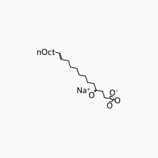 CCCCCCCCC=CCCCCCCCC(=O)CCS(=O)(=O)[O-].[Na+]